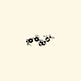 Cc1cc(Nc2ncnc3cnc(N4CCN(C(=O)O)C(C)C4)nc23)ccc1Oc1ccc2c(c1)ncn2C